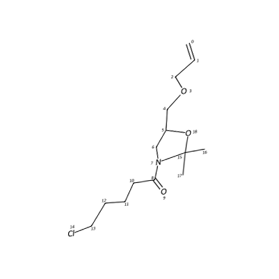 C=CCOCC1CN(C(=O)CCCCCl)C(C)(C)O1